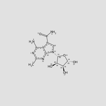 Cc1nc(N)c2c(C(N)=O)cn([C@@H]3O[C@H](O)[C@@H](O)[C@H]3O)c2n1